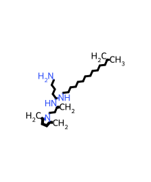 C=C(C)CCCCCCCCCCCCNC(CCCCN)NC(=C)CCn1c(=C)ccc1=C